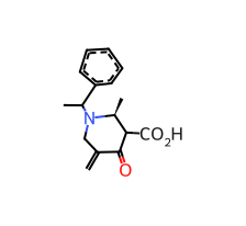 C=C1CN(C(C)c2ccccc2)[C@@H](C)C(C(=O)O)C1=O